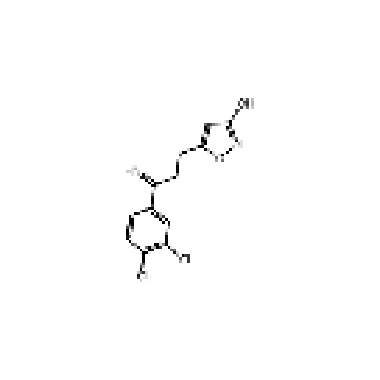 N=C(CCc1cc(O)no1)c1ccc(Cl)c(Cl)c1